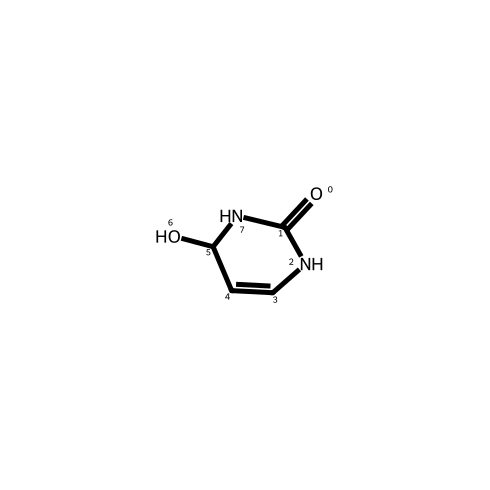 O=C1NC=CC(O)N1